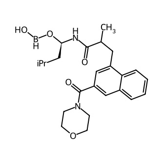 CC(C)C[C@H](NC(=O)C(C)Cc1cc(C(=O)N2CCOCC2)cc2ccccc12)OBO